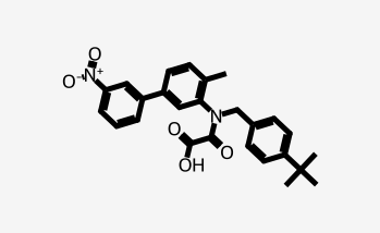 Cc1ccc(-c2cccc([N+](=O)[O-])c2)cc1N(Cc1ccc(C(C)(C)C)cc1)C(=O)C(=O)O